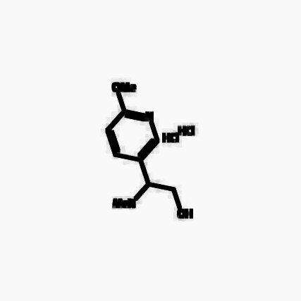 CNC(CO)c1ccc(OC)nc1.Cl.Cl